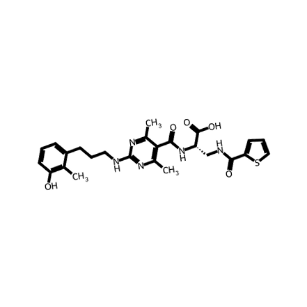 Cc1nc(NCCCc2cccc(O)c2C)nc(C)c1C(=O)N[C@@H](CNC(=O)c1cccs1)C(=O)O